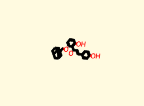 O=C(/C=C/c1ccc(O)cc1)c1c(O)cccc1OCC12CC3CC(CC(C3)C1)C2